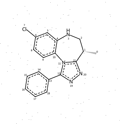 C[C@H]1CNc2cc(Cl)ccc2-n2c(-c3ccccc3)nnc21